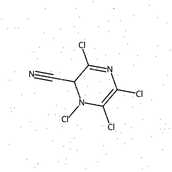 N#CC1C(Cl)=NC(Cl)=C(Cl)N1Cl